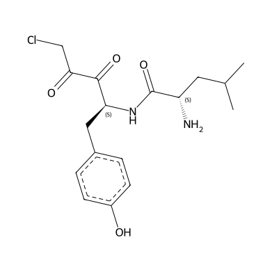 CC(C)C[C@H](N)C(=O)N[C@@H](Cc1ccc(O)cc1)C(=O)C(=O)CCl